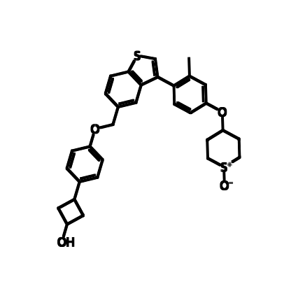 Cc1cc(OC2CC[S+]([O-])CC2)ccc1-c1csc2ccc(COc3ccc(C4CC(O)C4)cc3)cc12